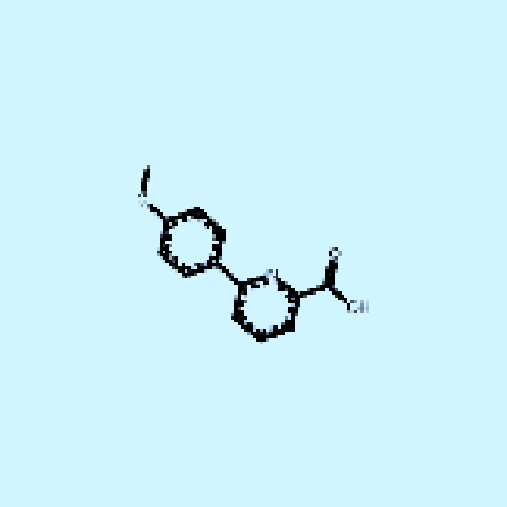 COc1ccc(-c2cccc(C(=O)O)n2)cc1